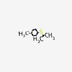 C=C(C)Sc1ccc(C)cc1